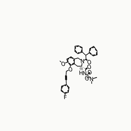 COc1ccc2c(c1OCC#Cc1ccc(F)cc1)C[C@@H](C(=O)NS(=O)(=O)N(C)C)N(C(=O)C(c1ccccc1)c1ccccc1)C2